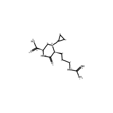 N=C(N)NCCC[C@H]1C(=O)N[C@@H](C(=O)O)CN1C1CC1